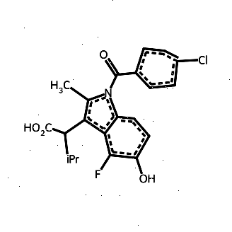 Cc1c(C(C(=O)O)C(C)C)c2c(F)c(O)ccc2n1C(=O)c1ccc(Cl)cc1